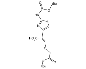 CC(C)(C)OC(=O)COC=C(C(=O)O)c1csc(NC(=O)OC(C)(C)C)n1